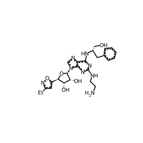 CCc1cc([C@H]2O[C@@H](n3cnc4c(N[C@H](CO)Cc5ccccc5)nc(NCCN)nc43)[C@H](O)[C@@H]2O)on1